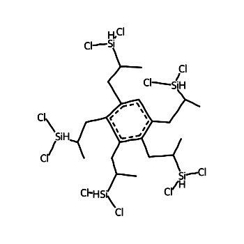 CC(Cc1cc(CC(C)[SiH](Cl)Cl)c(CC(C)[SiH](Cl)Cl)c(CC(C)[SiH](Cl)Cl)c1CC(C)[SiH](Cl)Cl)[SiH](Cl)Cl